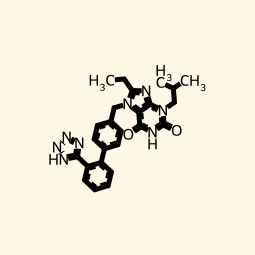 CCc1nc2c(c(=O)[nH]c(=O)n2CC(C)C)n1Cc1ccc(-c2ccccc2-c2nnn[nH]2)cc1